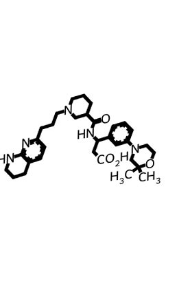 CC1(C)CN(c2cccc(C(CC(=O)O)NC(=O)C3CCCN(CCCc4ccc5c(n4)NCCC5)C3)c2)CCO1